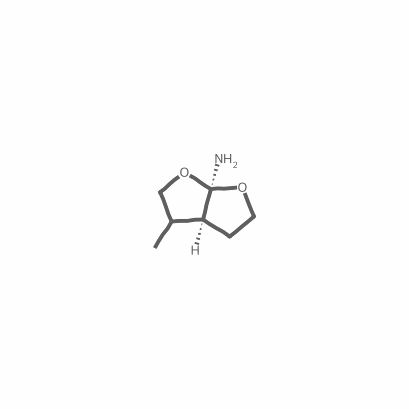 CC1CO[C@@]2(N)OCC[C@@H]12